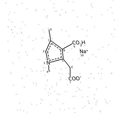 Cc1cn(C)c(CC(=O)[O-])c1C(=O)O.[Na+]